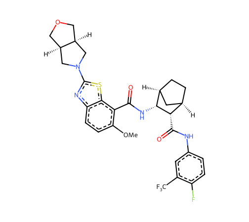 COc1ccc2nc(N3C[C@H]4COC[C@H]4C3)sc2c1C(=O)N[C@@H]1[C@H]2CC[C@H](C2)[C@@H]1C(=O)Nc1ccc(F)c(C(F)(F)F)c1